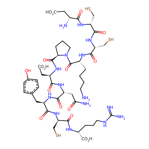 N=C(N)NCCC[C@@H](NC(=O)[C@@H](CS)NC(=O)[C@@H](Cc1ccc(O)cc1)NC(=O)[C@@H](CC(N)=O)NC(=O)[C@@H](CC(=O)O)NC(=O)[C@H]1CCCN1C(=O)[C@@H](CCCCN)NC(=O)[C@@H](CS)NC(=O)[C@@H](CS)NC(=O)[C@H](N)CC(=O)O)C(=O)O